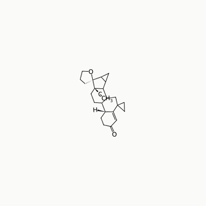 CC[C@]12CCC3C(CC4(CC4)C4=CC(=O)CC[C@@H]43)C1C1CC1[C@@]21CCCO1